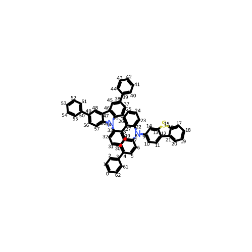 c1ccc(-c2ccc(N(c3ccc4c(c3)sc3ccccc34)c3ccccc3-c3ccccc3-n3c4ccc(-c5ccccc5)cc4c4cc(-c5ccccc5)ccc43)cc2)cc1